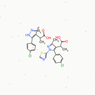 Cc1n[nH]c(-c2ccc(Cl)cc2)c1C(C)C(=O)O.Cc1nn(-c2cncs2)c(-c2ccc(Cl)cc2)c1C(C)C(=O)O